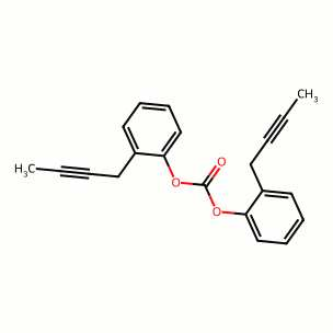 CC#CCc1ccccc1OC(=O)Oc1ccccc1CC#CC